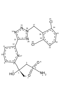 C[C@](O)(CS(N)(=O)=O)c1cccc(-c2nnn(Cc3c(Cl)cccc3Cl)n2)n1